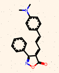 CN(C)c1ccc(/C=C/C=C2/C(=O)ON=C2c2ccccc2)cc1